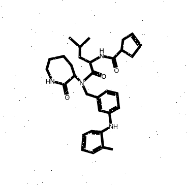 Cc1ccccc1Nc1cccc(CN(C(=O)C(CC(C)C)NC(=O)C2CC=CC2)C2CCCCNC2=O)c1